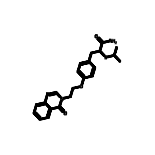 CC(C)SC(Cc1ccc(OCCn2cnc3ccccc3c2=O)cc1)C(N)=O